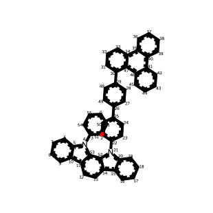 c1ccc(-n2c3ccccc3c3ccc4c5ccccc5n(-c5ccc(-c6ccc(-c7cccc8c9ccccc9c9ccccc9c78)cc6)cc5)c4c32)cc1